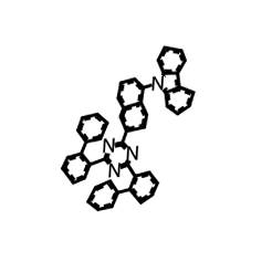 c1ccc(-c2ccccc2-c2nc(-c3ccc4c(-n5c6ccccc6c6ccccc65)cccc4c3)nc(-c3ccccc3-c3ccccc3)n2)cc1